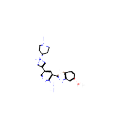 Nc1ncc(-c2cnn(C3CCNCC3)c2)cc1-c1nc2cc(OC(F)(F)F)ccc2s1